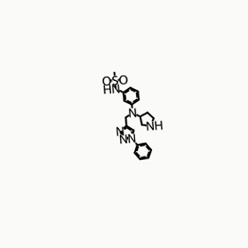 CS(=O)(=O)Nc1cccc(N(Cc2cn(-c3ccccc3)nn2)C2CCNC2)c1